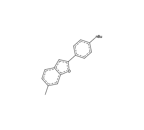 CCCCc1ccc(-c2cc3ccc(C)cc3o2)cc1